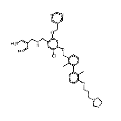 Cc1c(COc2cc(OCc3cncnc3)c(CNC/C(C=N)=C/N)cc2Cl)cccc1-c1cccc(OCCCN2CCCC2)c1C